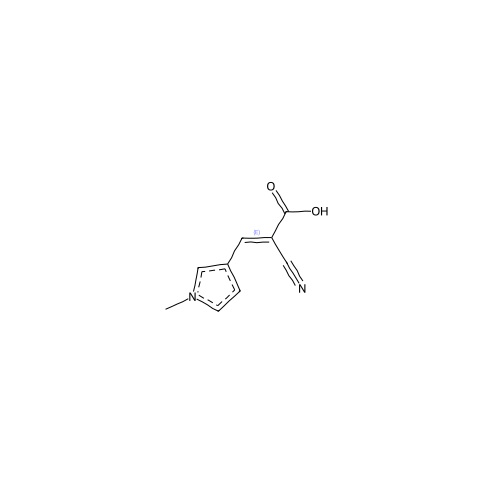 Cn1ccc(/C=C(\C#N)C(=O)O)c1